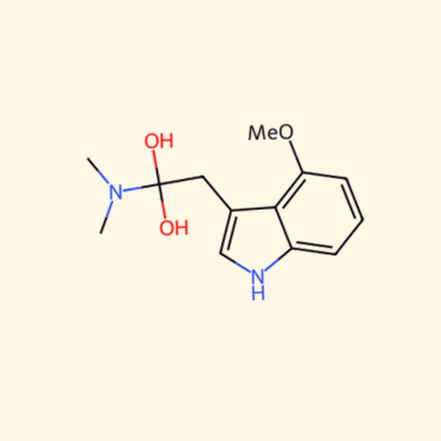 COc1cccc2[nH]cc(CC(O)(O)N(C)C)c12